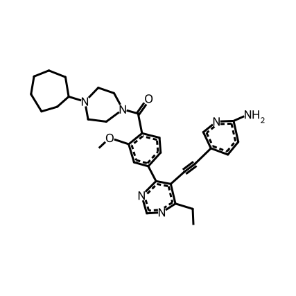 CCc1ncnc(-c2ccc(C(=O)N3CCN(C4CCCCCC4)CC3)c(OC)c2)c1C#Cc1ccc(N)nc1